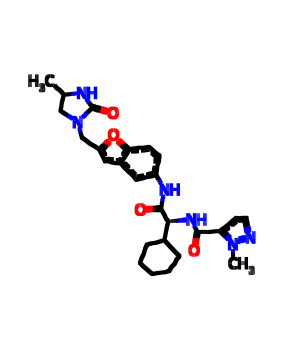 CC1CN(Cc2cc3cc(NC(=O)[C@@H](NC(=O)c4ccnn4C)C4CCCCC4)ccc3o2)C(=O)N1